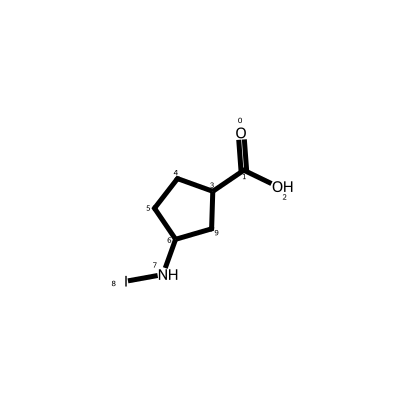 O=C(O)C1CCC(NI)C1